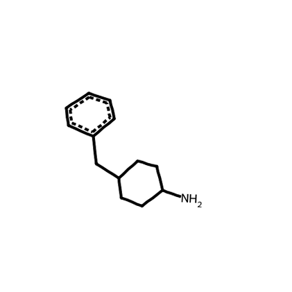 NC1CCC(Cc2ccccc2)CC1